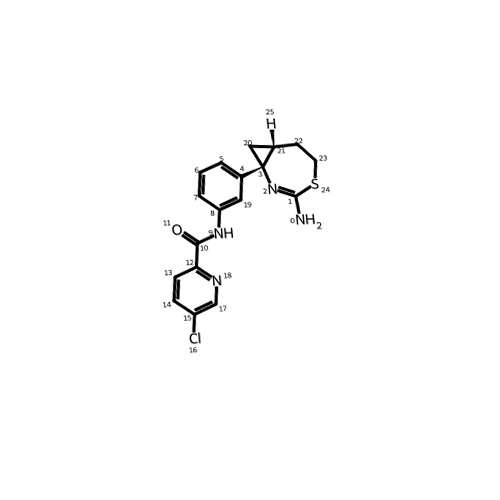 NC1=N[C@]2(c3cccc(NC(=O)c4ccc(Cl)cn4)c3)C[C@@H]2CCS1